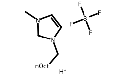 CCCCCCCCCN1C=CN(C)C1.F[B-](F)(F)F.[H+]